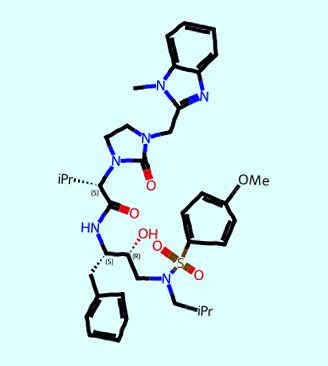 COc1ccc(S(=O)(=O)N(CC(C)C)C[C@@H](O)[C@H](Cc2ccccc2)NC(=O)[C@H](C(C)C)N2CCN(Cc3nc4ccccc4n3C)C2=O)cc1